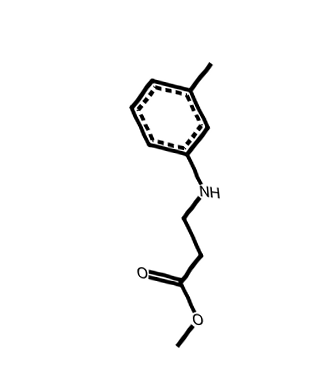 COC(=O)CCNc1cccc(C)c1